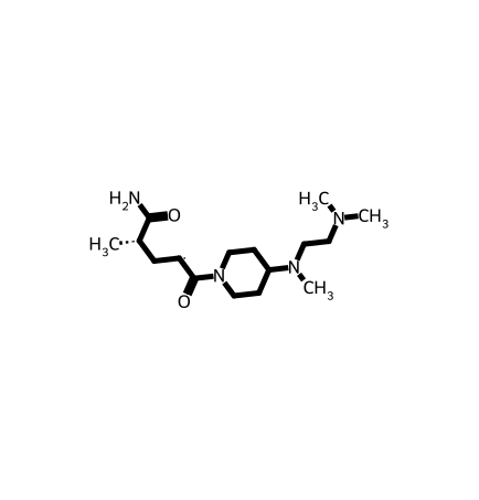 C[C@@H](C[CH]C(=O)N1CCC(N(C)CCN(C)C)CC1)C(N)=O